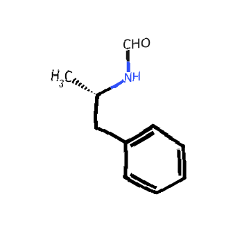 C[C@@H](Cc1ccccc1)NC=O